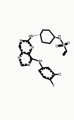 C=CS(=O)(=O)N[C@H]1CC[C@H](Nc2ncc3ncnc(Nc4ccc(F)c(Cl)c4)c3n2)CC1